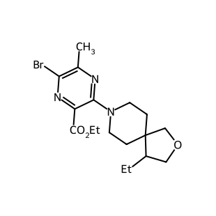 CCOC(=O)c1nc(Br)c(C)nc1N1CCC2(CC1)COCC2CC